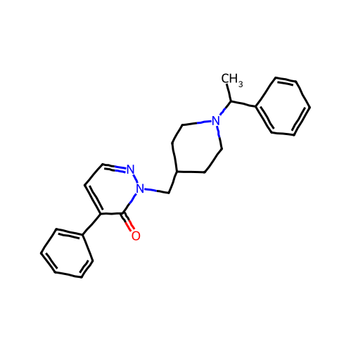 CC(c1ccccc1)N1CCC(Cn2nccc(-c3ccccc3)c2=O)CC1